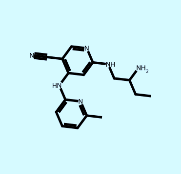 CCC(N)CNc1cc(Nc2cccc(C)n2)c(C#N)cn1